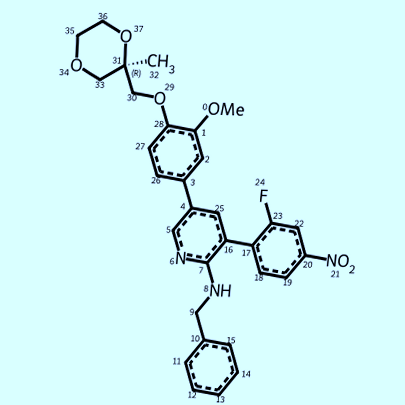 COc1cc(-c2cnc(NCc3ccccc3)c(-c3ccc([N+](=O)[O-])cc3F)c2)ccc1OC[C@@]1(C)COCCO1